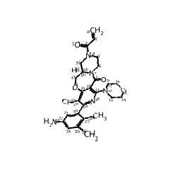 C=CC(=O)N1CCN2C(=O)c3c(N4CCOCC4)nc(-c4cc(N)cc(C)c4C)c(Cl)c3OC[C@H]2C1